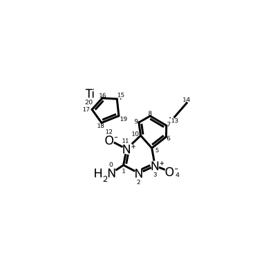 Nc1n[n+]([O-])c2ccccc2[n+]1[O-].[CH2]C.[CH]1C=CC=C1.[Ti]